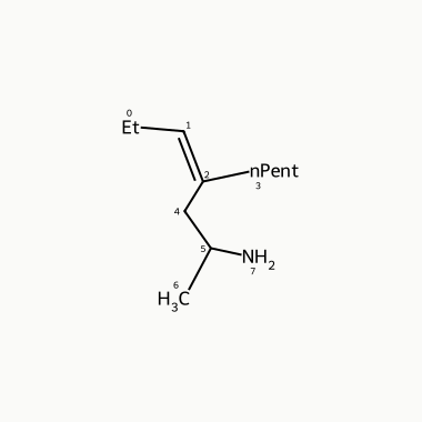 CCC=C(CCCCC)CC(C)N